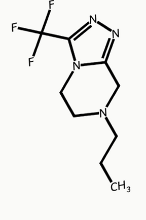 CCCN1CCn2c(nnc2C(F)(F)F)C1